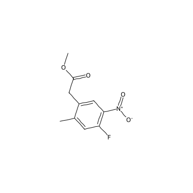 COC(=O)Cc1cc([N+](=O)[O-])c(F)cc1C